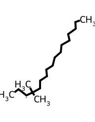 CC[CH]C(C)(C)CCCCCCCCCCCCC